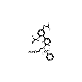 COCCN(c1nccc(-c2cc(OC(F)F)ccc2OC(F)F)n1)S(=O)(=O)c1ccccc1